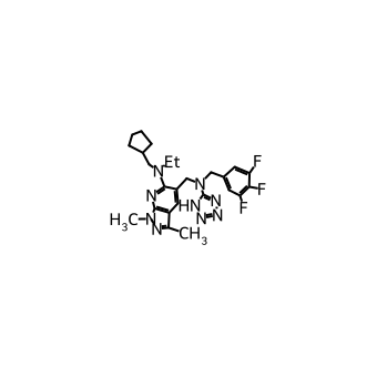 CCN(CC1CCCC1)c1nc2c(cc1CN(Cc1cc(F)c(F)c(F)c1)c1nnn[nH]1)c(C)nn2C